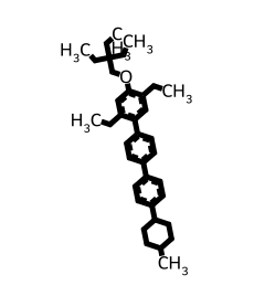 CCc1cc(-c2ccc(-c3ccc(C4CCC(C)CC4)cc3)cc2)c(CC)cc1OCC(CC)(CC)CC